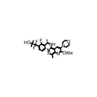 COc1nc2c(C)nnc(N[C@H](C)c3cccc(C(F)(F)C(C)(C)O)c3F)c2cc1N1CCOCC1